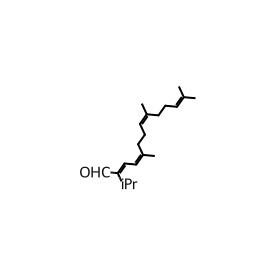 CC(C)=CCCC(C)=CCCC(C)=CC=C(C=O)C(C)C